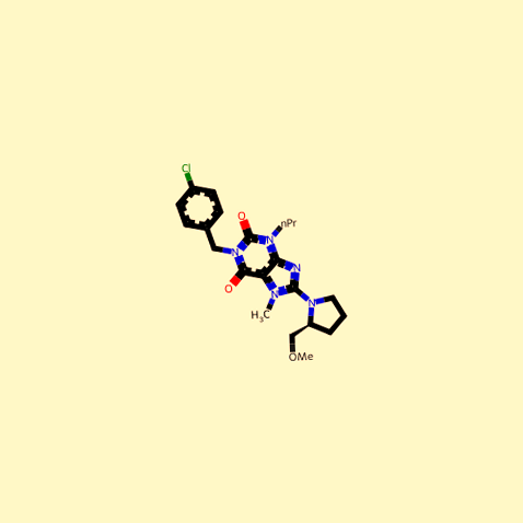 CCCn1c(=O)n(Cc2ccc(Cl)cc2)c(=O)c2c1nc(N1CCC[C@H]1COC)n2C